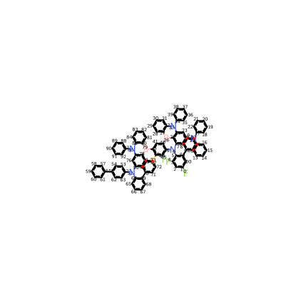 Fc1cc(F)c(N2c3cc(N(c4ccccc4)c4ccccc4)cc4c3B(c3ccccc3N4c3ccccc3)c3cc4c(c(F)c32)Sc2cc(N(c3ccc(-c5ccccc5)cc3)c3ccccc3-c3ccccc3)cc3c2B4c2ccccc2N3c2ccccc2)c(-c2ccccc2)c1